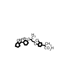 CCCc1c(OC(C)CCOc2ccc(C(C)C(=O)O)cc2Cl)cccc1-c1noc2ccccc12